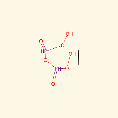 CC.O=[PH](OO)O[PH](=O)OO